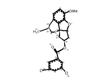 COc1ccc2c3c1OC1C[C@@H](OC(=O)c4cc(Cl)cc(Cl)c4)C[C@@]31CCN(C)C2